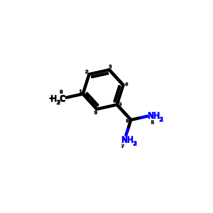 [CH2]c1cccc(C(N)N)c1